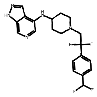 FC(F)c1ccc(C(F)(F)CN2CCC(Nc3cncc4[nH]ncc34)CC2)cc1